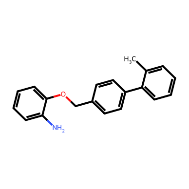 Cc1ccccc1-c1ccc(COc2ccccc2N)cc1